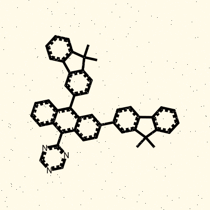 CC1(C)c2ccccc2-c2cc(-c3c4ccccc4c(-c4ncncn4)c4ccc(-c5ccc6c(c5)C(C)(C)c5ccccc5-6)cc34)ccc21